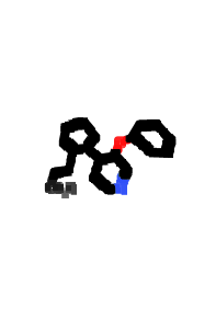 O=C(O)/C=C/c1ccccc1-c1ccncc1Oc1ccccc1